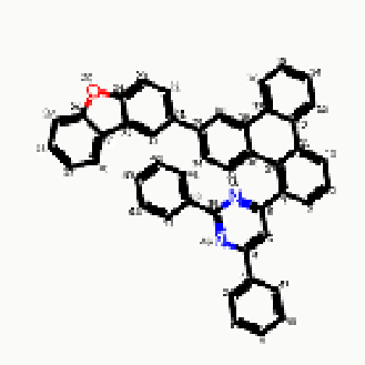 c1ccc(-c2cc(-c3cccc4c5ccccc5c5cc(-c6ccc7oc8ccccc8c7c6)ccc5c34)nc(-c3ccccc3)n2)cc1